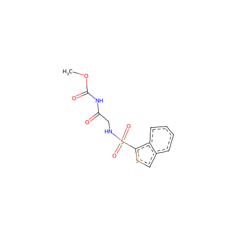 COC(=O)NC(=O)CNS(=O)(=O)c1scc2ccccc12